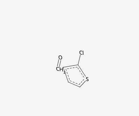 C=O.Clc1cccs1